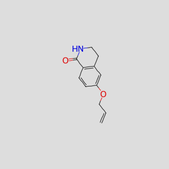 C=CCOc1ccc2c(c1)CCNC2=O